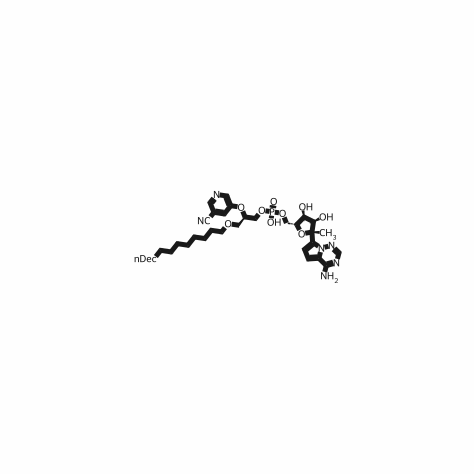 CCCCCCCCCCCCCCCCCCOC[C@H](COP(=O)(O)OC[C@H]1O[C@@](C)(c2ccc3c(N)ncnn23)[C@H](O)[C@@H]1O)Oc1cncc(C#N)c1